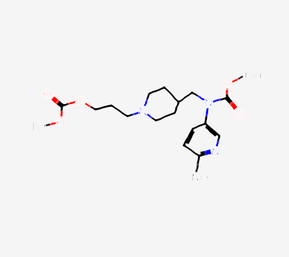 CC(C)(C)OC(=O)OCCCN1CCC(CN(C(=O)OC(C)(C)C)c2ccc([N+](=O)[O-])nc2)CC1